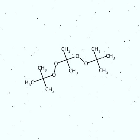 CC(C)(C)OOC(C)(C)OOC(C)(C)C